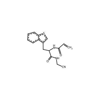 C=CC(=O)NC(Cc1csc2ccccc12)C(=O)NCC#N